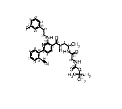 C[C@H](CNC(=O)c1ccc(-c2ccccc2C#N)nc1NCCc1cccc(F)c1)NC(=O)CNC(=O)OC(C)(C)C